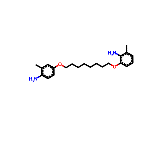 Cc1cc(OCCCCCCCCOc2cccc(C)c2N)ccc1N